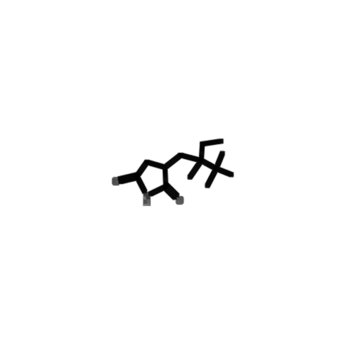 CCC(C)(CC1CC(=O)NC1=O)C(C)(C)C